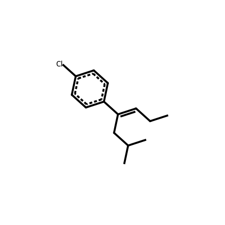 CCC=C(CC(C)C)c1ccc(Cl)cc1